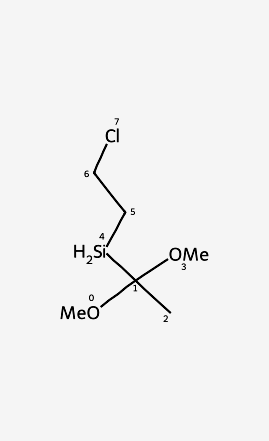 COC(C)(OC)[SiH2]CCCl